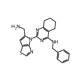 NCc1cc2scnc2n1-c1nc2c(c(NCc3ccccc3)n1)CCCC2